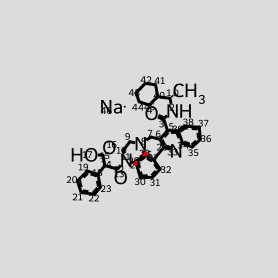 C[C@H](NC(=O)c1c(CN2CCN(C(=O)C(C(=O)O)c3ccccc3)CC2)c(-c2ccccc2)nc2ccccc12)C1CCCCC1.[Na]